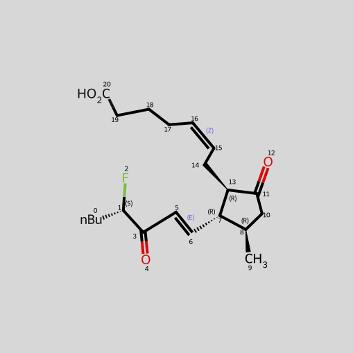 CCCC[C@H](F)C(=O)/C=C/[C@H]1[C@H](C)CC(=O)[C@@H]1C/C=C\CCCC(=O)O